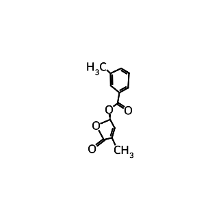 CC1=C[C@H](OC(=O)c2cccc(C)c2)OC1=O